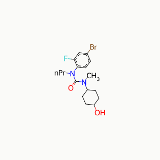 CCCN(C(=O)N(C)C1CCC(O)CC1)c1ccc(Br)cc1F